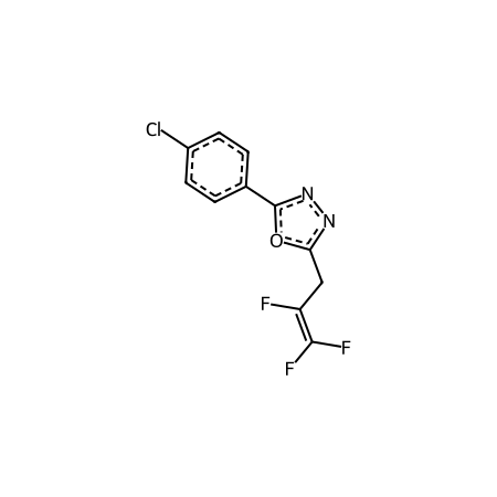 FC(F)=C(F)Cc1nnc(-c2ccc(Cl)cc2)o1